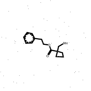 [NH]CC1(C(=O)OCCc2ccccc2)CCC1